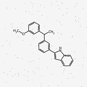 COc1cccc(C(C)c2cccc(-c3cc4ccccc4[nH]3)c2)c1